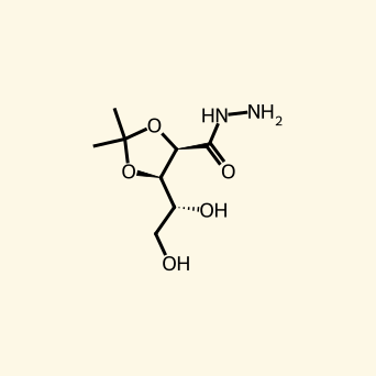 CC1(C)O[C@H]([C@H](O)CO)[C@H](C(=O)NN)O1